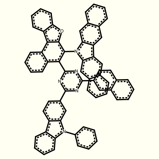 c1ccc(-n2c3ccccc3c3ccc(-c4nc(-c5ccc6ccccc6c5)nc(-c5c(-n6c7cc8ccccc8cc7c7cc8ccccc8cc76)c6oc7ccccc7c6c6ccccc56)n4)cc32)cc1